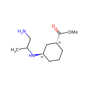 COC(=O)[C@@H]1CCC[C@@H](NC(C)CN)C1